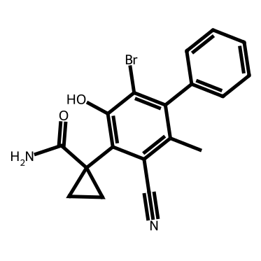 Cc1c(C#N)c(C2(C(N)=O)CC2)c(O)c(Br)c1-c1ccccc1